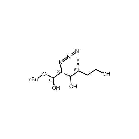 CCCCO[C@H](O)[C@H](N=[N+]=[N-])C(O)[C@H](F)CCO